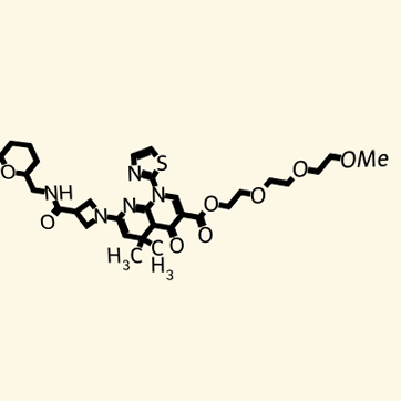 COCCOCCOCCOC(=O)C1=CN(c2nccs2)C2=NC(N3CC(C(=O)NCC4CCCCO4)C3)=CC(C)(C)C2C1=O